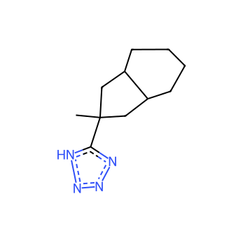 CC1(c2nnn[nH]2)CC2CCCCC2C1